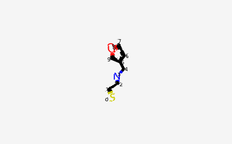 S=CC=NCc1ccoc1